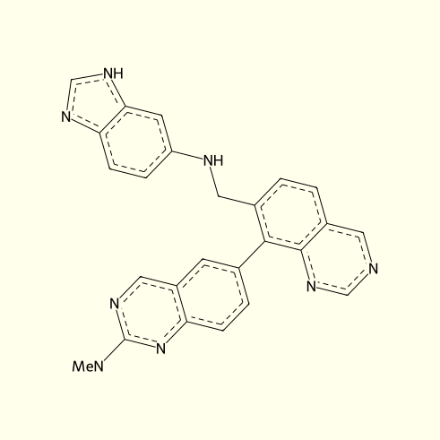 CNc1ncc2cc(-c3c(CNc4ccc5nc[nH]c5c4)ccc4cncnc34)ccc2n1